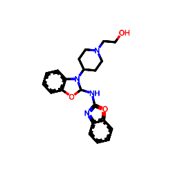 OCCN1CCC(N2c3ccccc3OC2Nc2nc3ccccc3o2)CC1